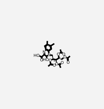 CC(=O)OC[C@@H](OC(C)=O)[C@@H](OC(C)=O)[C@H](CN1c2cc(C)c(C)cc2N=C(C(=O)O)C1O)OC(C)=O